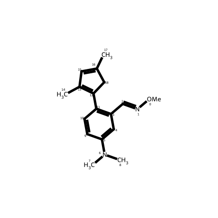 CON=Cc1cc(N(C)C)ccc1C1=C(C)C=C(C)C1